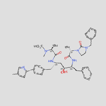 Cc1ccc(-c2ccc(C[C@@H](C[C@H](O)[C@H](Cc3ccccc3)NC(=O)[C@@H](N3CCN(Cc4ccccc4)C3=O)C(C)(C)C)NC(=O)[C@@H](N(C)C(=O)O)C(C)(C)C)cc2)nc1